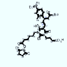 CCN(CC)c1ccc(C(=C\C(=O)C(C)(C)C)/C=C/c2c(O)n(CCCCCC(=O)ON3C(=O)CCC3=O)c(=O)n(CCCS(=O)(=O)O)c2=O)c(C)c1